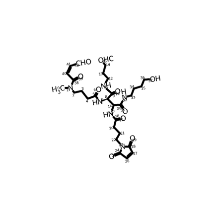 CN(CCCC(=O)N[C@@H](C(=O)NCCCC=O)C(NC(=O)CCCN1C(=O)C=CC1=O)C(=O)NCCCCO)C(=O)/C=C\C=O